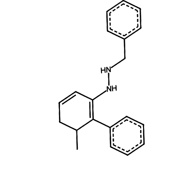 CC1CC=CC(NNCc2ccccc2)=C1c1ccccc1